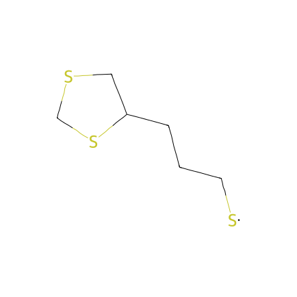 [S]CCCC1CSCS1